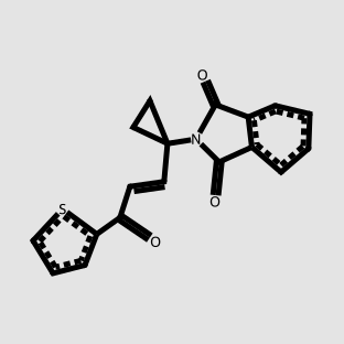 O=C(/C=C/C1(N2C(=O)c3ccccc3C2=O)CC1)c1cccs1